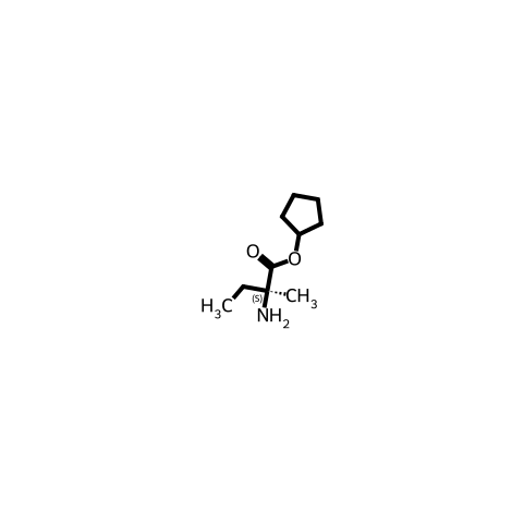 CC[C@](C)(N)C(=O)OC1CCCC1